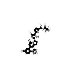 O=C(OC(=O)C(F)(F)F)c1ccc(-c2[nH]c([C@@H]3CCc4cc(-c5cc(Cl)ccc5-n5cnnn5)cc(=O)n43)nc2F)s1